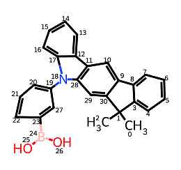 CC1(C)c2ccccc2-c2cc3c4ccccc4n(-c4cccc(B(O)O)c4)c3cc21